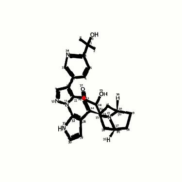 CC(C)(O)c1ccc(-c2cnn3c2nc([C@@H]2C[C@H]4CC[C@@H](C2)N4CC(O)C=O)c2cc[nH]c23)cn1